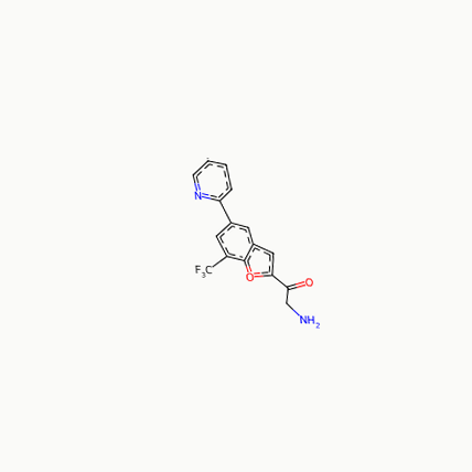 NCC(=O)c1cc2cc(-c3cc[c]cn3)cc(C(F)(F)F)c2o1